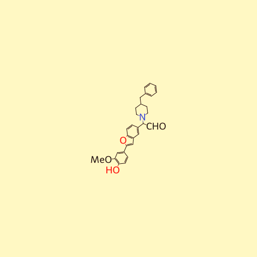 COc1cc(-c2cc3cc(C(C=O)N4CCC(Cc5ccccc5)CC4)ccc3o2)ccc1O